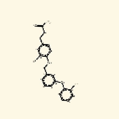 CC(=O)CCc1ccc(OCc2cccc(Oc3ccccc3F)c2)c(F)c1